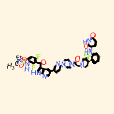 CCN(C)S(=O)(=O)Nc1ccc(F)c(C(=O)c2c[nH]c3ncc(-c4ccc(N5CCN(C(=O)CN6CC[C@H](c7ccccc7NC7CCC(=O)NC7=O)C(F)(F)C6)CC5)nc4)cc23)c1F